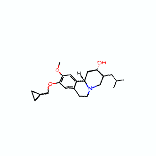 COc1cc2c(cc1OCC1CC1)CCN1CC(CC(C)C)[C@@H](O)C[C@@H]21